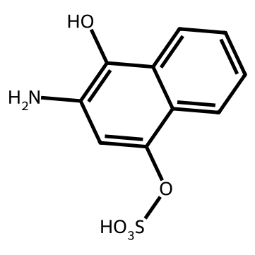 Nc1cc(OS(=O)(=O)O)c2ccccc2c1O